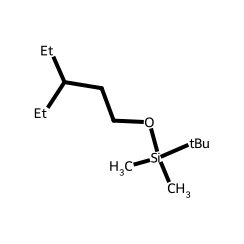 CCC(CC)CCO[Si](C)(C)C(C)(C)C